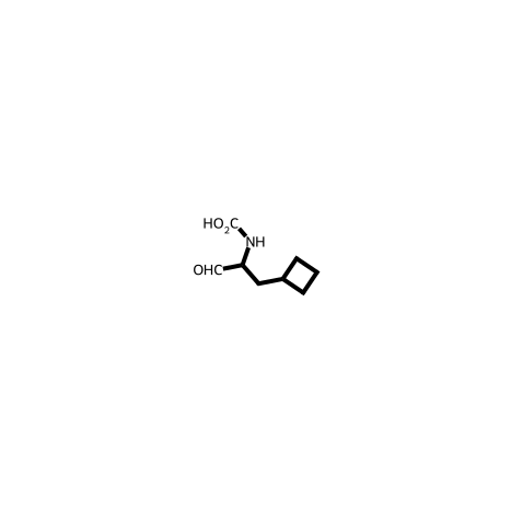 O=CC(CC1CCC1)NC(=O)O